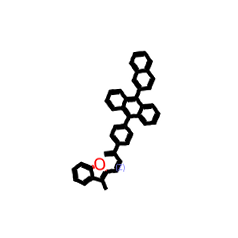 C=C(/C=C\c1oc2ccccc2c1C)c1ccc(-c2c3ccccc3c(-c3ccc4ccccc4c3)c3ccccc23)cc1